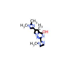 Cc1c(-c2cn(C)c(C)n2)cn2nc(-c3nccn3C)nc(O)c12